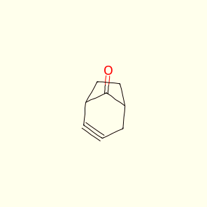 O=C1C2C#CCC1CC2